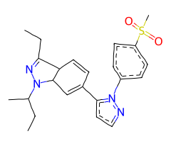 CCC1=NN(C(C)CC)C2C=C(c3ccnn3-c3ccc(S(C)(=O)=O)cc3)C=CC12